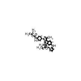 COC(=O)OCn1nccc1Nc1ccc(-c2sc([C@H]3CC[C@H](NC(=O)OC(C)C)CC3)nc2C)c(S(N)(=O)=O)c1